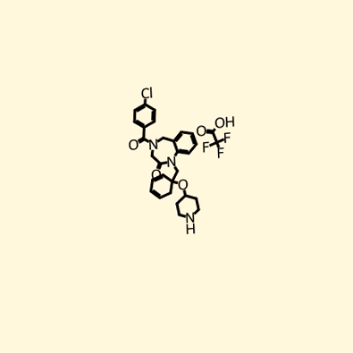 O=C(O)C(F)(F)F.O=C(c1ccc(Cl)cc1)N1CC(=O)N(CC2(OC3CCNCC3)C=CC=CC2)c2ccccc2C1